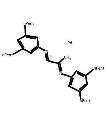 CCCCCc1cc(CCCCC)cc(/N=C/C(C)=N/c2cc(CCCCC)cc(CCCCC)c2)c1.[Pd]